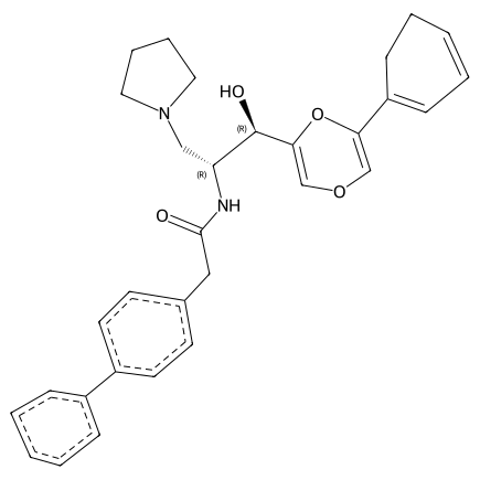 O=C(Cc1ccc(-c2ccccc2)cc1)N[C@H](CN1CCCC1)[C@@H](O)C1=COC=C(C2=CC=CCC2)O1